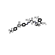 Cc1ccc(C(C)C)c(N2C(=O)CS/C2=N\C(=O)NC(C)C/C=C/c2ccc(C3=NN(c4ccc(OC(F)(F)F)cc4)CN3)cc2)c1